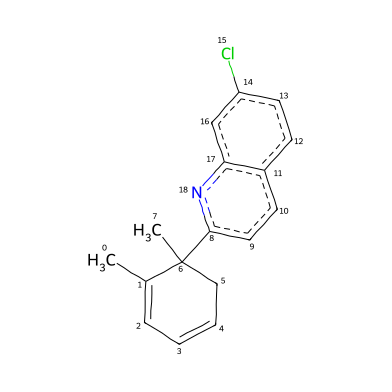 CC1=CC=CCC1(C)c1ccc2ccc(Cl)cc2n1